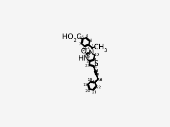 CC(c1ccc(C(=O)O)cc1)N1Cc2sc(C#CCc3ccccc3)cc2NC1=O